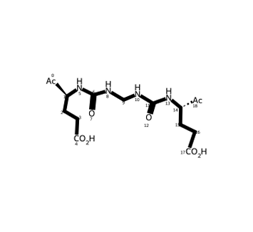 CC(=O)[C@H](CCC(=O)O)NC(=O)NCNC(=O)N[C@@H](CCC(=O)O)C(C)=O